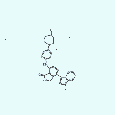 O=C1NCc2c(-c3cnc4cnccn34)ncc(Nc3ccc(N4CCC(O)CC4)cn3)c21